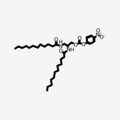 CCCCCCCCCCCC(=O)NCC(COC(=O)Oc1ccc([N+](=O)[O-])cc1)NC(=O)CCCCCCCCCCC